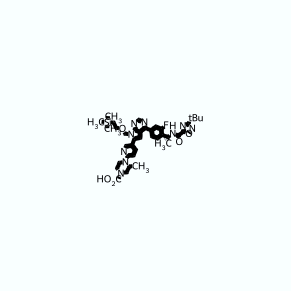 CC1CN(C(=O)O)CCN1c1ccc(-c2cc3c(-c4ccc([C@@H](C)NC(=O)c5nc(C(C)(C)C)no5)c(F)c4)ncnc3n2COCC[Si](C)(C)C)cn1